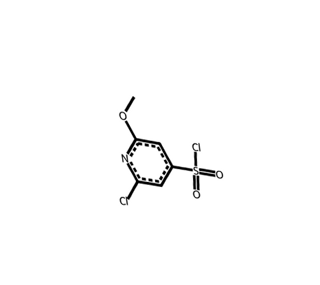 COc1cc(S(=O)(=O)Cl)cc(Cl)n1